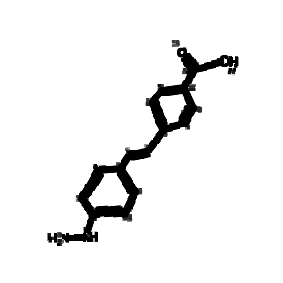 NNc1ccc(C=Cc2ccc(C(=O)O)cc2)cc1